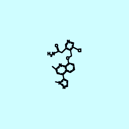 Cc1cc(-c2ccnn2C)c2cccc(OCc3c(Cl)cncc3CC(N)=O)c2n1